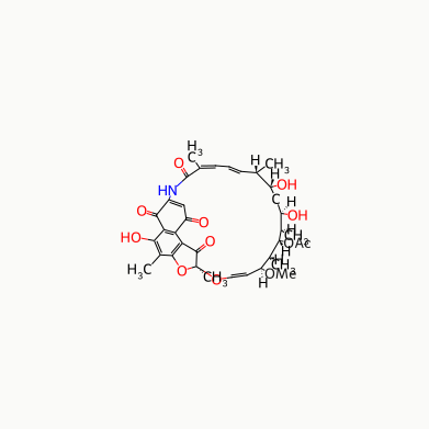 CO[C@H]1/C=C/O[C@@]2(C)Oc3c(C)c(O)c4c(c3C2=O)C(=O)C=C(NC(=O)/C(C)=C\C=C\[C@H](C)[C@H](O)C[C@@H](O)[C@@H](C)[C@H](OC(C)=O)[C@@H]1C)C4=O